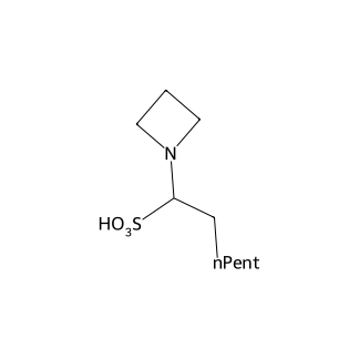 CCCCCCC(N1CCC1)S(=O)(=O)O